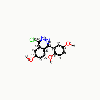 COc1ccc(OC)c(-c2nnc(Cl)c3cc(OC)ccc23)c1